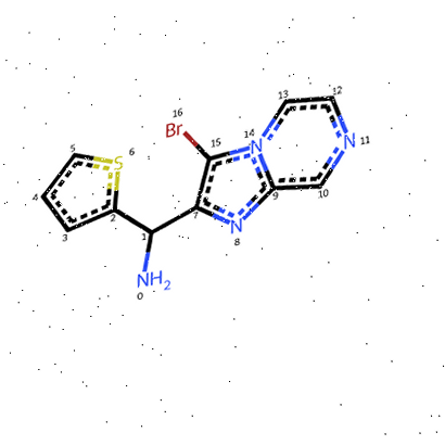 NC(c1cccs1)c1nc2cnccn2c1Br